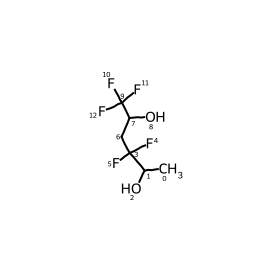 CC(O)C(F)(F)CC(O)C(F)(F)F